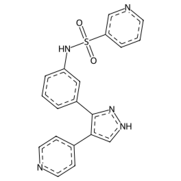 O=S(=O)(Nc1cccc(-c2n[nH]cc2-c2ccncc2)c1)c1cccnc1